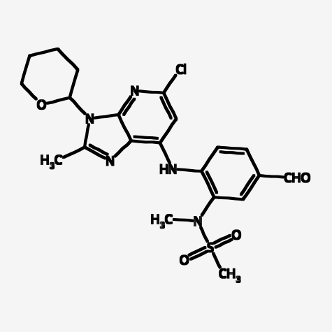 Cc1nc2c(Nc3ccc(C=O)cc3N(C)S(C)(=O)=O)cc(Cl)nc2n1C1CCCCO1